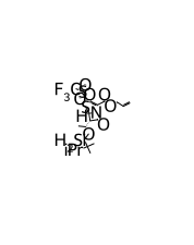 C=CCOC(=O)C1=C(OS(=O)(=O)C(F)(F)F)S[C@@H]2[C@@H](C(C)O[SiH2]C(C)(C)C(C)C)C(=O)N12